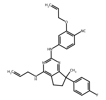 [C-]#[N+]c1ccc(Nc2nc(NCC=C)c3c(n2)C(C)(c2ccc(F)cc2)CC3)cc1OCC=C